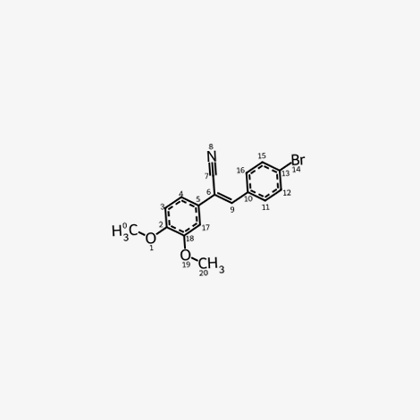 COc1ccc(C(C#N)=Cc2ccc(Br)cc2)cc1OC